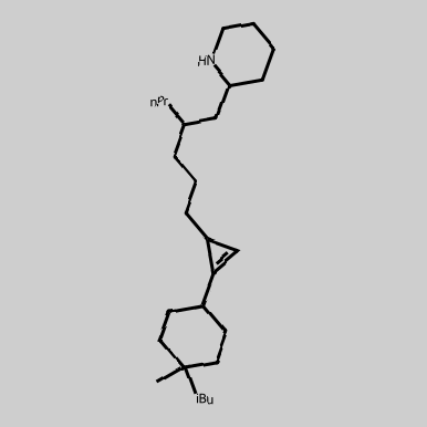 CCCC(CCCC1C=C1C1CCC(C)(C(C)CC)CC1)CC1CCCCN1